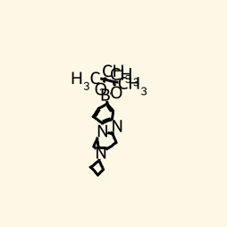 CC1(C)OB(c2ccc3c(c2)nc2n3C3CC(C2)N(C2CCC2)C3)OC1(C)C